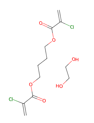 C=C(Cl)C(=O)OCCCCOC(=O)C(=C)Cl.OCCO